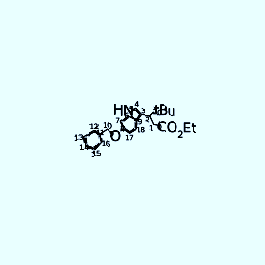 CCOC(=O)CC(c1c[nH]c2cc(OCc3ccccc3)ccc12)C(C)(C)C